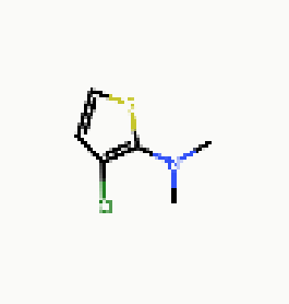 CN(C)c1sccc1Cl